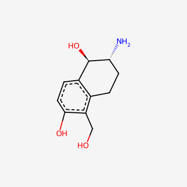 N[C@@H]1CCc2c(ccc(O)c2CO)[C@H]1O